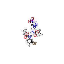 Cc1ccc(N(CCN(CCn2cc([N+](=O)[O-])cn2)C(=O)OC(C)(C)C)C(=O)OC(C)(C)C)cc1Br